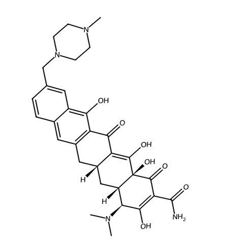 CN1CCN(Cc2ccc3cc4c(c(O)c3c2)C(=O)C2=C(O)[C@]3(O)C(=O)C(C(N)=O)=C(O)[C@@H](N(C)C)[C@@H]3C[C@@H]2C4)CC1